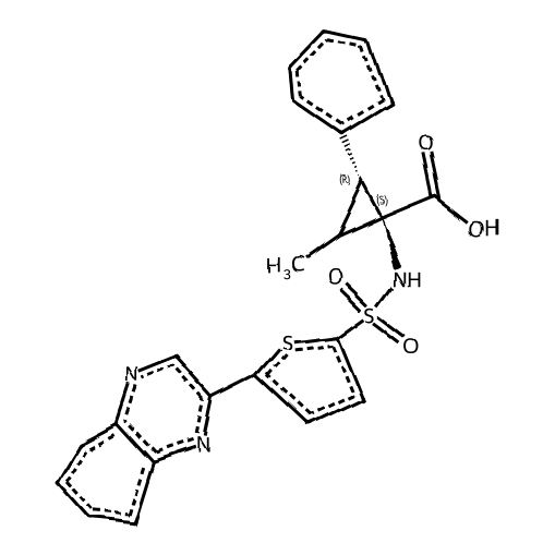 CC1[C@H](c2ccccc2)[C@]1(NS(=O)(=O)c1ccc(-c2cnc3ccccc3n2)s1)C(=O)O